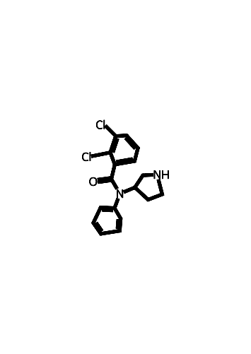 O=C(c1cccc(Cl)c1Cl)N(c1ccccc1)C1CCNC1